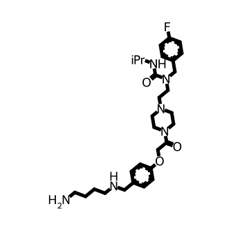 CC(C)NC(=O)N(CCN1CCN(C(=O)COc2ccc(CNCCCCN)cc2)CC1)Cc1ccc(F)cc1